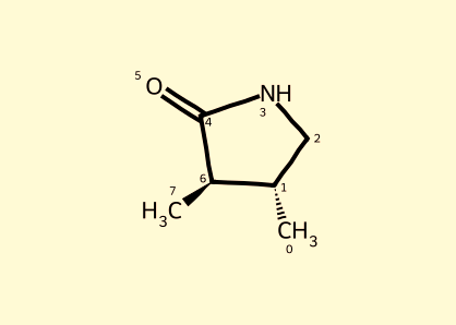 C[C@H]1CNC(=O)[C@@H]1C